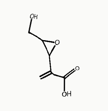 C=C(C(=O)O)C1OC1CO